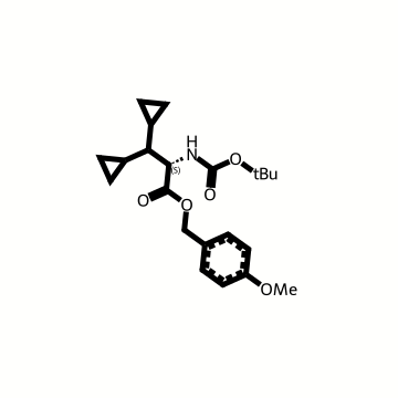 COc1ccc(COC(=O)[C@@H](NC(=O)OC(C)(C)C)C(C2CC2)C2CC2)cc1